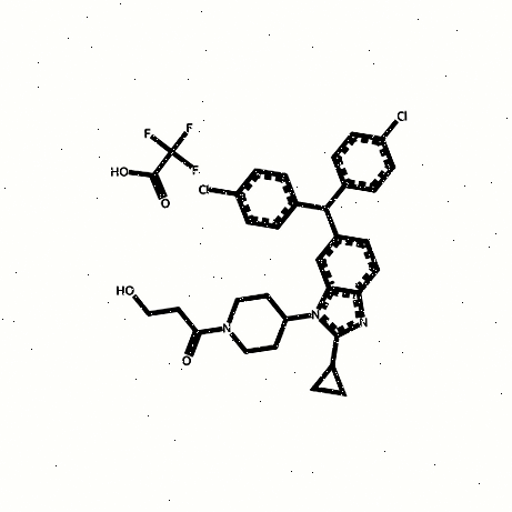 O=C(CCO)N1CCC(n2c(C3CC3)nc3ccc(C(c4ccc(Cl)cc4)c4ccc(Cl)cc4)cc32)CC1.O=C(O)C(F)(F)F